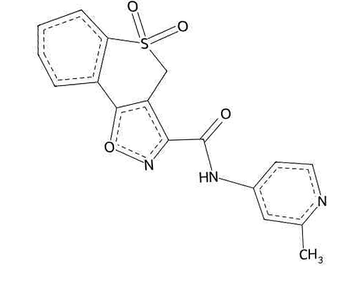 Cc1cc(NC(=O)c2noc3c2CS(=O)(=O)c2ccccc2-3)ccn1